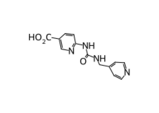 O=C(NCc1ccncc1)Nc1ccc(C(=O)O)cn1